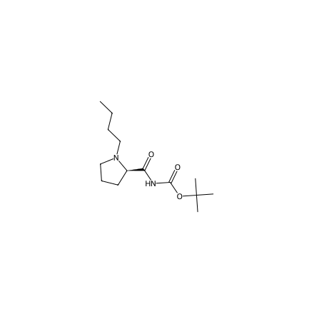 CCCCN1CCC[C@@H]1C(=O)NC(=O)OC(C)(C)C